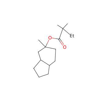 CCC(C)(C)C(=O)OC1(C)CCC2CCCC2C1